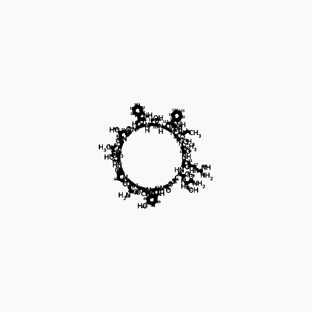 CCCC[C@H]1C(=O)N(C)[C@@H](C)C(=O)N[C@@H](CCCNC(=N)N)C(=O)NC(C(=O)N[C@@H](CO)C(N)=O)CSCC(=O)N[C@@H](Cc2ccc(O)cc2)C(=O)N(C)[C@@H](C)C(=O)N[C@@H](CC(N)=O)C(=O)N2CCC[C@H]2C(=O)N[C@@H](CO)C(=O)N[C@H](CC(C)C)C(=O)N2C[C@H](O)C[C@H]2C(=O)N[C@@H](Cc2c[nH]c3ccccc23)C(=O)N[C@@H](CO)C(=O)N[C@@H](Cc2c[nH]c3ccccc23)C(=O)N1C